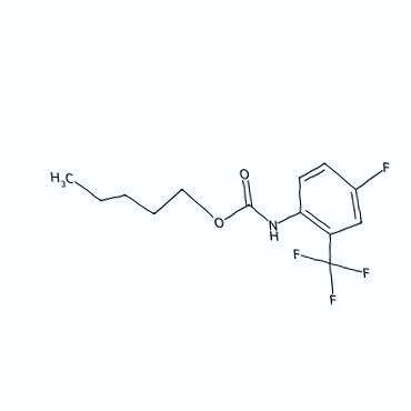 CCCCCOC(=O)Nc1ccc(F)cc1C(F)(F)F